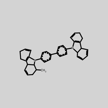 CC1CC=CC2C3=C(C=CCC3)N(c3ccc(-c4ccc(N5C6=C(CCC=C6)C6C=CC=CC65)cc4)cc3)C12